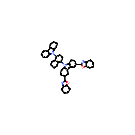 c1ccc2oc(-c3ccc4c(c3)c3cc(-c5nc6ccccc6o5)ccc3n4-c3ccc(-n4c5ccccc5c5ccccc54)c4ccccc34)nc2c1